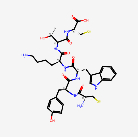 C[C@@H](O)[C@H](NC(=O)[C@H](CCCCN)NC(=O)[C@H](Cc1c[nH]c2ccccc12)NC(=O)[C@H](Cc1ccc(O)cc1)NC(=O)[C@@H](N)CS)C(=O)N[C@@H](CS)C(=O)O